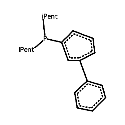 CCCC(C)P(c1cccc(-c2ccccc2)c1)C(C)CCC